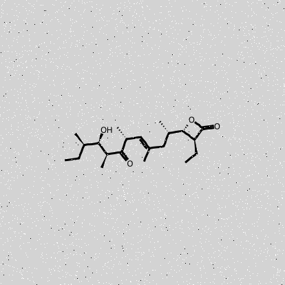 CC[C@@H](C)[C@@H](O)[C@H](C)C(=O)[C@H](C)C=C(C)C[C@H](C)[C@@H]1OC(=O)[C@H]1CC